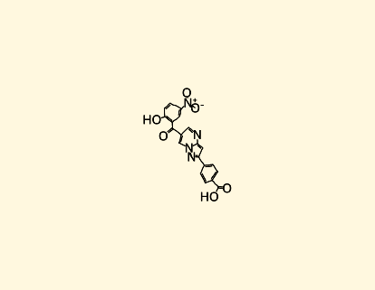 O=C(O)c1ccc(-c2cc3ncc(C(=O)c4cc([N+](=O)[O-])ccc4O)cn3n2)cc1